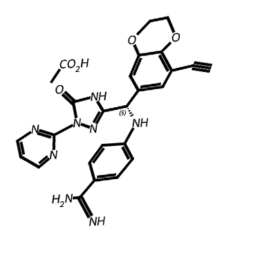 C#Cc1cc([C@H](Nc2ccc(C(=N)N)cc2)c2nn(-c3ncccn3)c(=O)[nH]2)cc2c1OCCO2.CC(=O)O